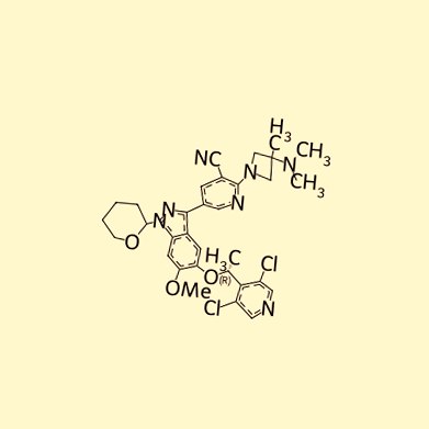 COc1cc2c(cc1O[C@H](C)c1c(Cl)cncc1Cl)c(-c1cnc(N3CC(C)(N(C)C)C3)c(C#N)c1)nn2C1CCCCO1